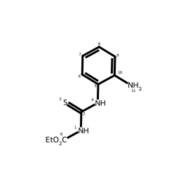 CCOC(=O)NC(=S)Nc1ccccc1N